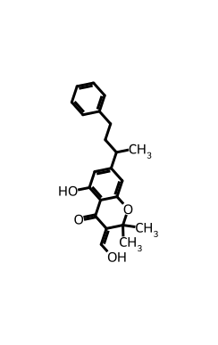 CC(CCc1ccccc1)c1cc(O)c2c(c1)OC(C)(C)/C(=C\O)C2=O